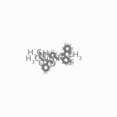 CNC(C)C(=O)NC(C(=O)N1CCCC1Cn1cc(-c2ccccc2C)c2cc(F)ccc21)C1CCCCC1